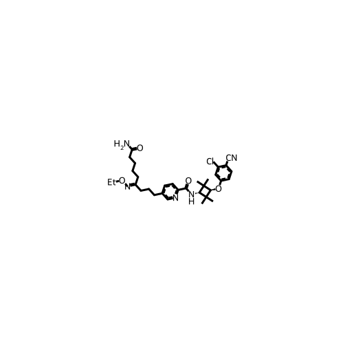 CCO/N=C(\CCCCC(N)=O)CCCc1ccc(C(=O)N[C@H]2C(C)(C)[C@H](Oc3ccc(C#N)c(Cl)c3)C2(C)C)nc1